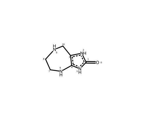 O=c1[nH]c2c([nH]1)NCCNC2